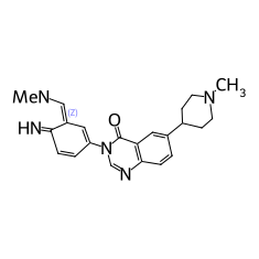 CN/C=C1/C=C(n2cnc3ccc(C4CCN(C)CC4)cc3c2=O)C=CC1=N